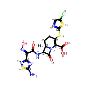 Nc1nc(/C(=N/O)C(=O)N[C@@H]2C(=O)N3C(C(=O)O)=C(Sc4ncc(Cl)s4)CC[C@H]23)ns1